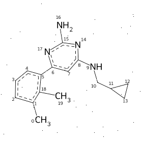 Cc1cccc(-c2cc(NCC3CC3)nc(N)n2)c1C